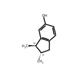 C[C@H]1Cc2ccc(O)cc2[C@@H]1C